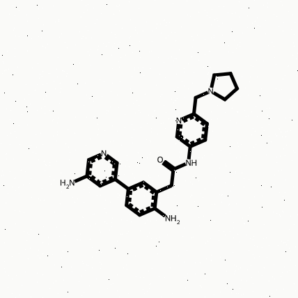 Nc1cncc(-c2ccc(N)c(CC(=O)Nc3ccc(CN4CCCC4)nc3)c2)c1